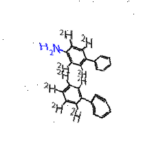 [2H]c1c([2H])c(-c2ccccc2)c([2H])c([2H])c1N.[2H]c1c([2H])c([2H])c(-c2ccccc2)c([2H])c1[2H]